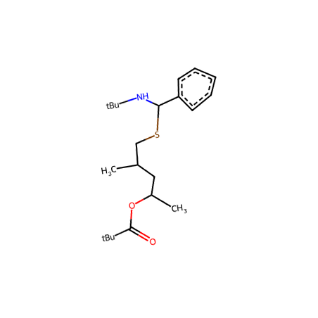 CC(CSC(NC(C)(C)C)c1ccccc1)CC(C)OC(=O)C(C)(C)C